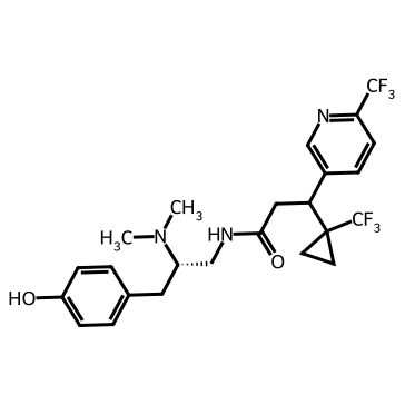 CN(C)[C@H](CNC(=O)CC(c1ccc(C(F)(F)F)nc1)C1(C(F)(F)F)CC1)Cc1ccc(O)cc1